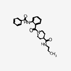 CCCNC(=O)C1CCN(C(=O)c2ccccc2NC(=O)c2ccccc2)CC1